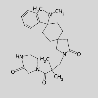 CN(C)C1(c2ccccc2)CCC2(CC1)CC(=O)N(CC(C)(C)C(=O)N1CCNC(=O)C1)C2